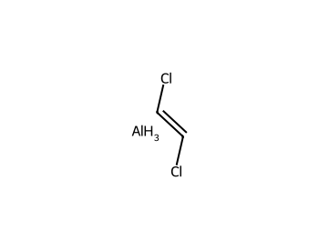 ClC=CCl.[AlH3]